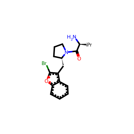 CC(C)[C@H](N)C(=O)N1CCC[C@H]1Cc1c(Br)oc2ccccc12